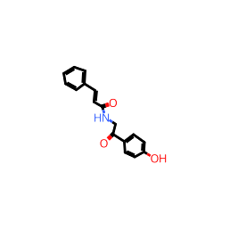 O=C(C=Cc1ccccc1)NCC(=O)c1ccc(O)cc1